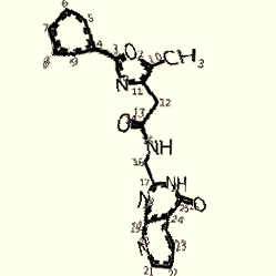 Cc1oc(-c2ccccc2)nc1CC(=O)NCc1nc2ncccc2c(=O)[nH]1